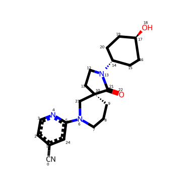 N#Cc1ccnc(N2CCC[C@@]3(CCN([C@H]4CC[C@H](O)CC4)C3=O)C2)c1